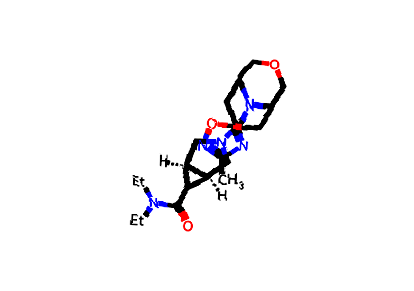 CCN(CC)C(=O)C1[C@H]2CN(C3CC4COCC(C3)N4c3nc(C)no3)C[C@@H]12